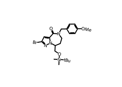 COc1ccc(CN2CCC(CO[Si](C)(C)C(C)(C)C)n3nc(Br)cc3C2=O)cc1